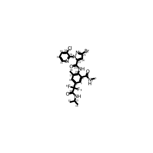 CNC(=O)c1cc(C(F)(F)C(=O)NC(C)C)cc(C)c1NC(=O)c1cc(Br)nn1-c1ncccc1Cl